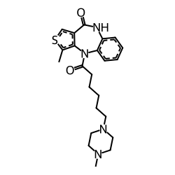 Cc1scc2c1N(C(=O)CCCCCN1CCN(C)CC1)c1ccccc1NC2=O